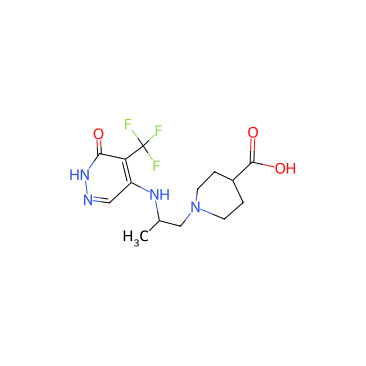 CC(CN1CCC(C(=O)O)CC1)Nc1cn[nH]c(=O)c1C(F)(F)F